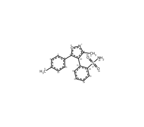 Cc1ccc(-c2onc(C)c2-c2ccccc2S(N)(=O)=O)cc1